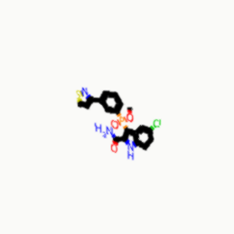 COP(=O)(c1cccc(-c2ccsn2)c1)c1c(C(N)=O)[nH]c2ccc(Cl)cc12